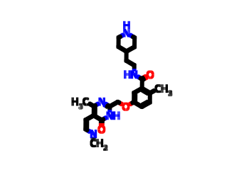 C=N/C=C\c1c(C)nc(COc2ccc(C)c(C(=O)NCCC3CCNCC3)c2)[nH]c1=O